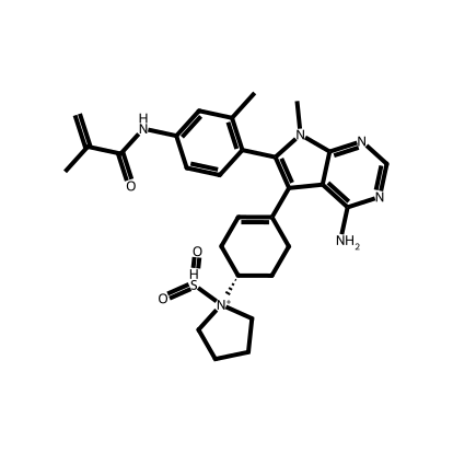 C=C(C)C(=O)Nc1ccc(-c2c(C3=CC[C@@H]([N+]4([SH](=O)=O)CCCC4)CC3)c3c(N)ncnc3n2C)c(C)c1